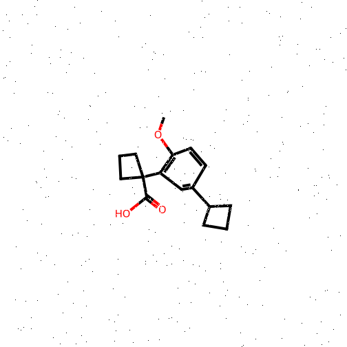 COc1ccc(C2CCC2)cc1C1(C(=O)O)CCC1